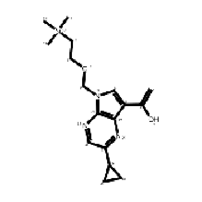 C=C(O)c1cn(COCC[Si](C)(C)C)c2ncc(C3CC3)nc12